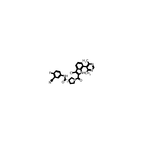 Cc1ncnc(C)c1-c1cccc2c(Cl)c(C(=O)N3CC[C@H](C(=O)Nc4ccc(F)c(C#N)c4)C3)[nH]c12